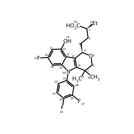 CC[C@@H](CC[C@H]1OCC(C)(C)c2c1c1c(O)cc(F)cc1n2-c1ccc(F)c(F)c1)C(=O)O